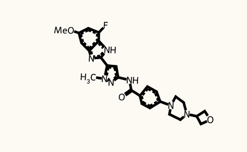 COc1cc(F)c2[nH]c(-c3cc(NC(=O)c4ccc(N5CCN(C6COC6)CC5)cc4)nn3C)nc2c1